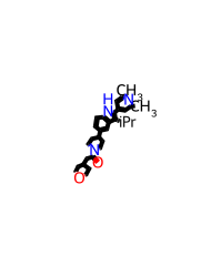 Cc1cc(-c2[nH]c3ccc(C4CCN(C(=O)CC5CCOCC5)CC4)cc3c2C(C)C)cc(C)n1